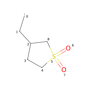 [CH2]CC1CCS(=O)(=O)C1